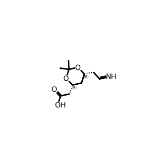 CC1(C)O[C@H](CC=N)C[C@H](CC(=O)O)O1